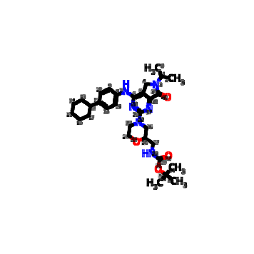 CC(C)N1Cc2c(Nc3ccc(C4CCCCC4)cc3)nc(N3CCO[C@H](CNC(=O)OC(C)(C)C)C3)nc2C1=O